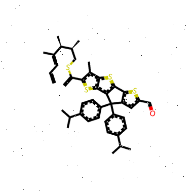 C=CC=C(C)[C@@H](C)[C@@H](C)CSC(=C)c1sc2c3c(sc2c1C)-c1sc(C=O)cc1C3(c1ccc(C(C)C)cc1)c1ccc(C(C)C)cc1